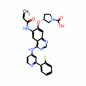 C=CC(=O)Nc1cc2c(Nc3ccnc(-c4ccccc4F)c3)ncnc2cc1O[C@@H]1CCN(C(=O)O)C1